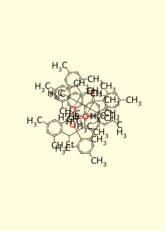 CCC(c1c(C)cc(C)cc1C)C(OB(OC(c1c(C)cc(C)cc1C)(c1c(C)cc(C)cc1C)C(CC)c1c(C)cc(C)cc1C)OC(c1c(C)cc(C)cc1C)(c1c(C)cc(C)cc1C)C(CC)c1c(C)cc(C)cc1C)(c1c(C)cc(C)cc1C)c1c(C)cc(C)cc1C